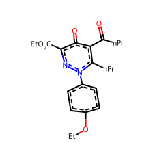 CCCC(=O)c1c(CCC)n(-c2ccc(OCC)cc2)nc(C(=O)OCC)c1=O